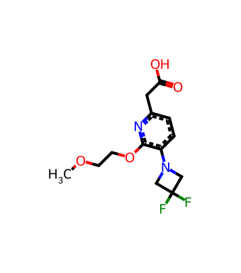 COCCOc1nc(CC(=O)O)ccc1N1CC(F)(F)C1